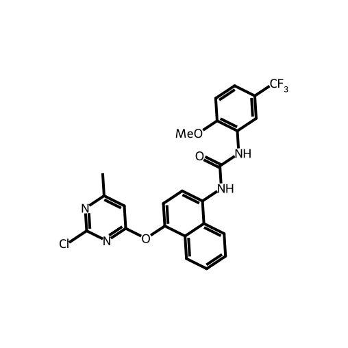 COc1ccc(C(F)(F)F)cc1NC(=O)Nc1ccc(Oc2cc(C)nc(Cl)n2)c2ccccc12